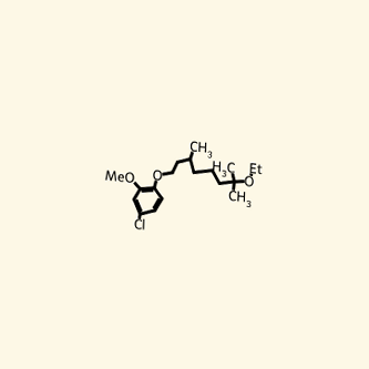 CCOC(C)(C)CCCC(C)CCOc1ccc(Cl)cc1OC